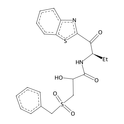 CC[C@@H](NC(=O)C(O)CS(=O)(=O)Cc1ccccc1)C(=O)c1nc2ccccc2s1